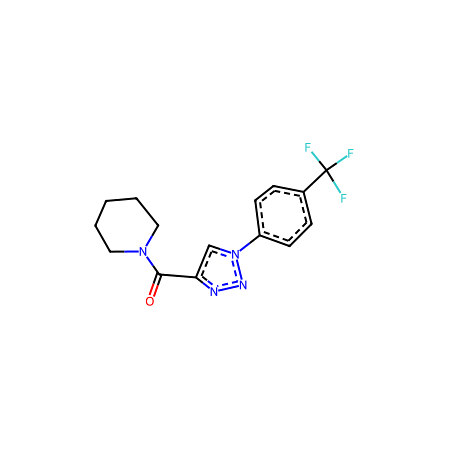 O=C(c1cn(-c2ccc(C(F)(F)F)cc2)nn1)N1CCCCC1